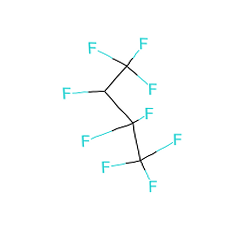 FC(C(F)(F)F)C(F)(F)C(F)(F)F